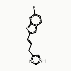 Fc1ccc2cc(/C=C/Cc3c[nH]cn3)sc2c1